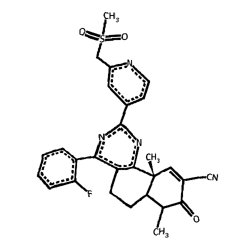 CC1C(=O)C(C#N)=C[C@@]2(C)c3nc(-c4ccnc(CS(C)(=O)=O)c4)nc(-c4ccccc4F)c3CCC12